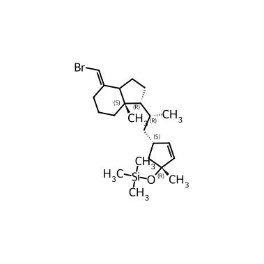 C[C@H](C[C@@H]1C=C[C@](C)(O[Si](C)(C)C)C1)[C@H]1CCC2C(=CBr)CCC[C@]21C